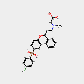 CN(CCC(Oc1ccc(S(=O)(=O)c2ccc(F)cc2)cc1)c1ccccc1)CC(=O)O